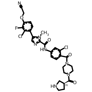 Cn1c(-c2ccc(OCC#N)c(F)c2Cl)cnc1C(=O)Nc1ccc(C(=O)N2CCN(C(=O)[C@H]3CCNC3)CC2)c(Cl)c1